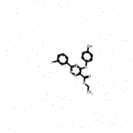 CCOC(=O)c1nnc(-c2cccc(F)c2)nc1Oc1ccc(O)cc1